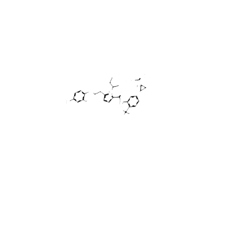 CCC(C)n1c(CCOc2ccc(F)cc2F)ccc1C(=O)Nc1cc([C@H]2C[C@H]2C(=O)O)ccc1C(F)(F)F